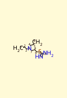 C=CCN(CC=C)CCCSC(=N)N